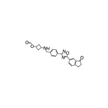 O=COC1CC(NCc2ccc(-c3noc(-c4ccc5c(c4)C(=O)CC5)n3)cc2)C1